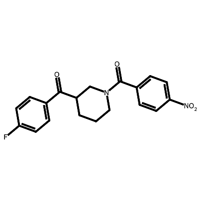 O=C(c1ccc(F)cc1)C1CCCN(C(=O)c2ccc([N+](=O)[O-])cc2)C1